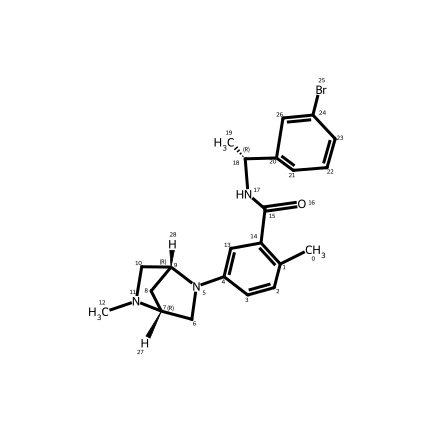 Cc1ccc(N2C[C@H]3C[C@@H]2CN3C)cc1C(=O)N[C@H](C)c1cccc(Br)c1